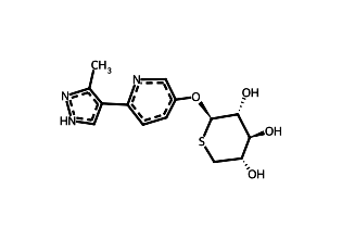 Cc1n[nH]cc1-c1ccc(O[C@@H]2SC[C@@H](O)[C@H](O)[C@H]2O)cn1